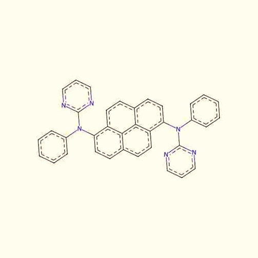 c1ccc(N(c2ncccn2)c2ccc3ccc4c(N(c5ccccc5)c5ncccn5)ccc5ccc2c3c54)cc1